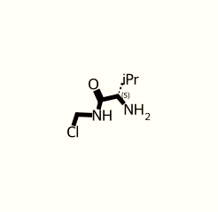 CC(C)[C@H](N)C(=O)NCCl